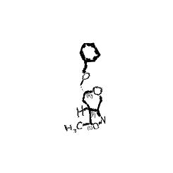 C[C@@H]1ON=C2CO[C@@H](COCc3ccccc3)C[C@H]21